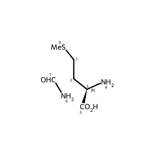 CSCC[C@@H](N)C(=O)O.NC=O